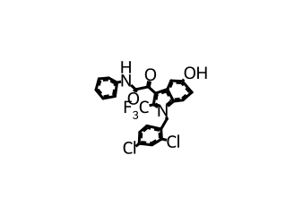 O=C(Nc1ccccc1)C(=O)c1c(C(F)(F)F)n(Cc2ccc(Cl)cc2Cl)c2ccc(O)cc12